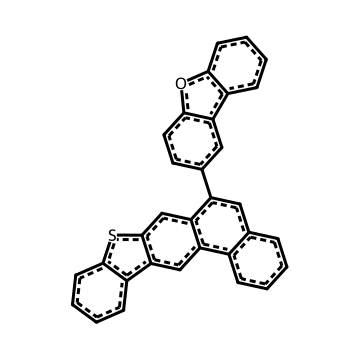 c1ccc2c(c1)cc(-c1ccc3oc4ccccc4c3c1)c1cc3sc4ccccc4c3cc12